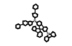 c1ccc(-c2ccc(N(c3ccc4c(c3)C3(c5ccccc5-c5ccccc53)c3cc(-n5c6ccccc6c6ccccc65)ccc3-4)c3ccc4cc(-c5ccccc5)ccc4c3)cc2)cc1